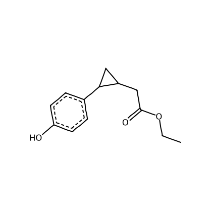 CCOC(=O)CC1CC1c1ccc(O)cc1